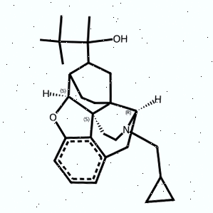 CC(C)(C)C(C)(O)C1CC23CCC1[C@@H]1Oc4cccc5c4[C@@]12CCN(CC1CC1)[C@@H]3C5